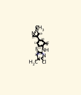 C=N/C=C(F)\C(=N/CCl)Nc1ccc(-c2cnn(C)c2)cc1F